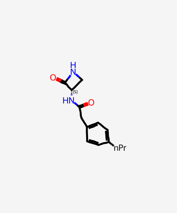 CCCc1ccc(CC(=O)N[C@H]2CNC2=O)cc1